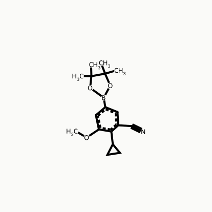 COc1cc(B2OC(C)(C)C(C)(C)O2)cc(C#N)c1C1CC1